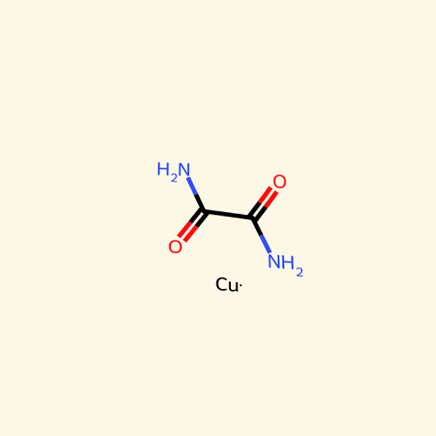 NC(=O)C(N)=O.[Cu]